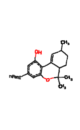 CCCCCc1cc(O)c2c(c1)OC(C)(C)C1CCC(C)C=C21